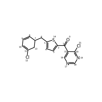 O=C(c1ccc(CC2C=CC=C(Cl)C2)s1)c1cncnc1Cl